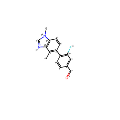 Cc1c(-c2ccc(C=O)cc2F)ccc2c1ncn2C